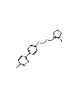 Cc1ccc(-c2ccc(OCCCN3CCC[C@H]3C)cc2)nn1